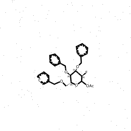 CC(=O)OC1O[C@H](COCc2ccccc2)[C@@H](OCc2ccccc2)[C@H](OCc2ccccc2)[C@H]1F